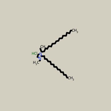 CCCCCCCCCCCCCCCCCC(CC)N1CCN(CC)C1CCCCCCCCCCCCCCCCC.Cl